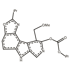 COCc1c(OC(=O)OC(C)C)ncc2[nH]c3ccc4oc(C(C)C)nc4c3c12